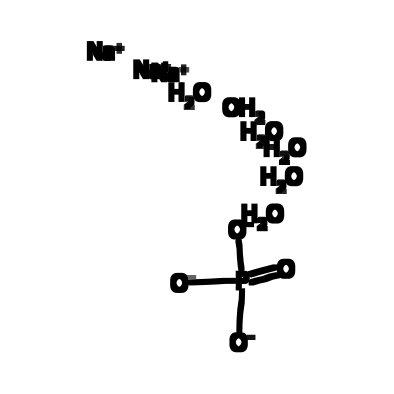 O.O.O.O.O.O.O=P([O-])([O-])[O-].[Na+].[Na+].[Na+]